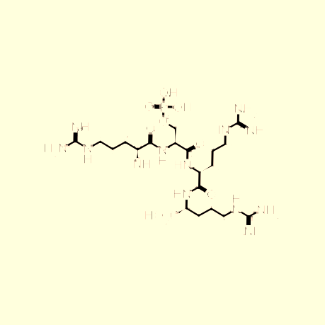 N=C(N)NCCC[C@H](NC(=O)[C@H](CCCNC(=N)N)NC(=O)[C@H](COP(=O)(O)O)NC(=O)[C@@H](N)CCCNC(=N)N)C(=O)O